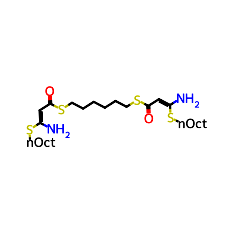 CCCCCCCCSC(N)=CC(=O)SCCCCCCSC(=O)C=C(N)SCCCCCCCC